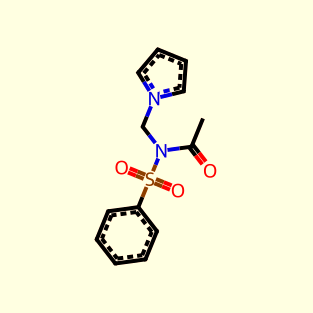 CC(=O)N(Cn1cccc1)S(=O)(=O)c1ccccc1